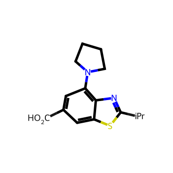 CC(C)c1nc2c(N3CCCC3)cc(C(=O)O)cc2s1